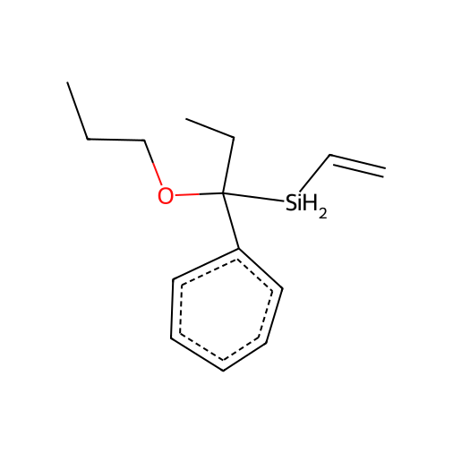 C=C[SiH2]C(CC)(OCCC)c1ccccc1